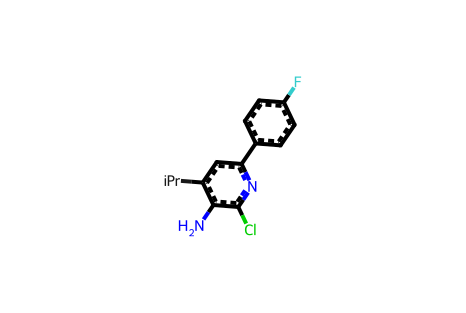 CC(C)c1cc(-c2ccc(F)cc2)nc(Cl)c1N